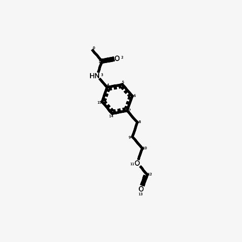 CC(=O)Nc1ccc(CCCO[C]=O)cc1